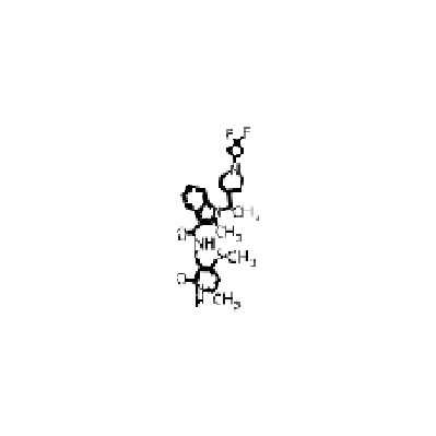 CSc1cc(C)[nH]c(=O)c1CNC(=O)c1c(C)n([C@H](C)C2CCN(C3CC(F)(F)C3)CC2)c2ccccc12